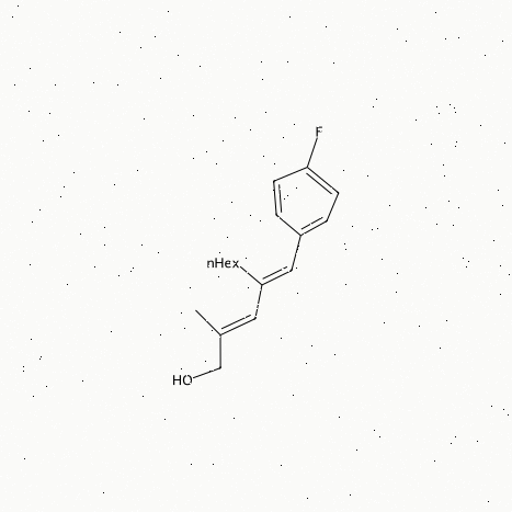 CCCCCCC(/C=C(\C)CO)=C\c1ccc(F)cc1